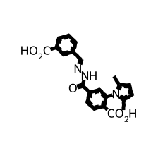 Cc1ccc(C)n1-c1cc(C(=O)NN=Cc2cccc(C(=O)O)c2)ccc1C(=O)O